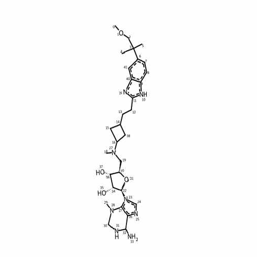 COCC(C)(C)c1ccc2[nH]c(CCC3CC(N(C)C[C@H]4O[C@@H](n5cnc6c5N(C)CNC6N)[C@H](O)[C@@H]4O)C3)nc2c1